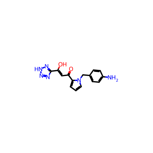 Nc1ccc(Cn2cccc2C(=O)C=C(O)c2nn[nH]n2)cc1